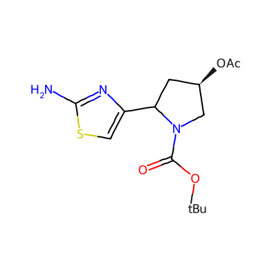 CC(=O)O[C@@H]1CC(c2csc(N)n2)N(C(=O)OC(C)(C)C)C1